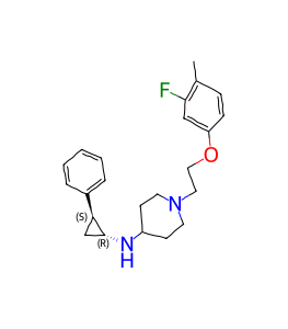 Cc1ccc(OCCN2CCC(N[C@@H]3C[C@H]3c3ccccc3)CC2)cc1F